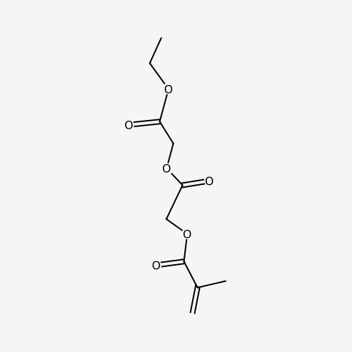 C=C(C)C(=O)OCC(=O)OCC(=O)OCC